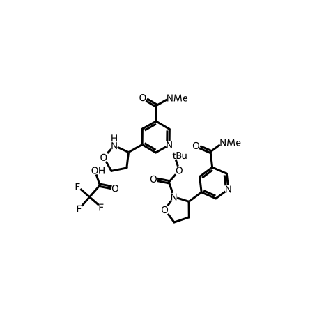 CNC(=O)c1cncc(C2CCON2)c1.CNC(=O)c1cncc(C2CCON2C(=O)OC(C)(C)C)c1.O=C(O)C(F)(F)F